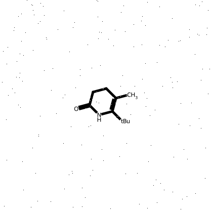 CC1=C(C(C)(C)C)NC(=O)CC1